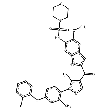 COc1cc2cc(C(=O)c3cnn(-c4ccc(Oc5ccccc5F)cc4C)c3N)[nH]c2cc1NS(=O)(=O)N1CCOCC1